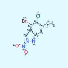 Cc1cc2nn([N+](=O)[O-])cc2c(Br)c1Cl